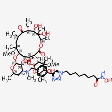 CC[C@H]1OC(=O)[C@H](C)[C@@H](O[C@H]2C[C@@](C)(OC)[C@@H](O)[C@H](C)O2)[C@H](C)[C@@H](O[C@@H]2O[C@H](C)C[C@H](N(C)Cc3ccc(-c4cn(CCCCCCCC(=O)NO)nn4)cc3)[C@H]2O)[C@](C)(OC)C[C@@H](C)C(=O)[C@H](C)[C@@H](O)[C@]1(C)O